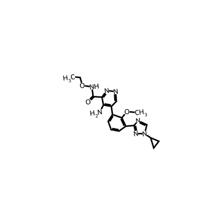 CCONC(=O)c1nncc(-c2cccc(-c3ncn(C4CC4)n3)c2OC)c1N